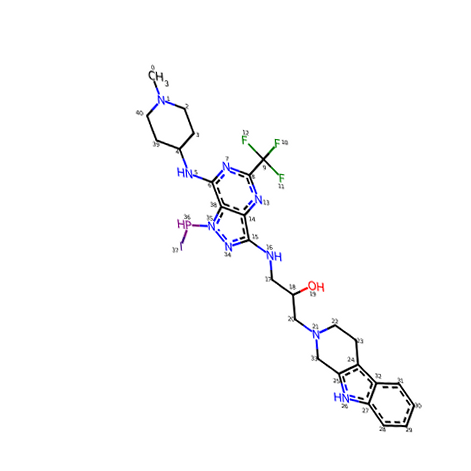 CN1CCC(Nc2nc(C(F)(F)F)nc3c(NCC(O)CN4CCc5c([nH]c6ccccc56)C4)nn(PI)c23)CC1